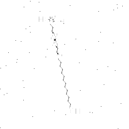 CCCCCCCCCCCCCCCCOCCOOOOCCCP(=O)(O)O